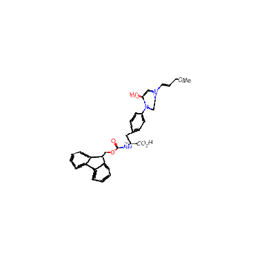 COCCCN1CCN(c2ccc(C[C@H](NC(=O)OCC3c4ccccc4-c4ccccc43)C(=O)O)cc2)C(O)C1